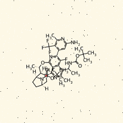 Cc1nc(N)cc(-c2nc3c4c(nc(C)c(C(C)NC(=O)OC(C)(C)C)c4c2F)N2C[C@H]4CC[C@@H]([C@H]2[C@H](C)O3)N4C(=O)OC(C)(C)C)c1C(F)(F)F